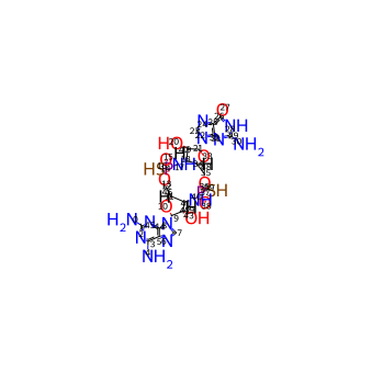 Nc1nc(N)c2ncn([C@@H]3O[C@@H]4COP(=O)(S)N[C@H]5[C@@H](O)[C@H](n6cnc7c(=O)[nH]c(N)nc76)O[C@@H]5COP(=O)(S)N[C@H]4[C@H]3O)c2n1